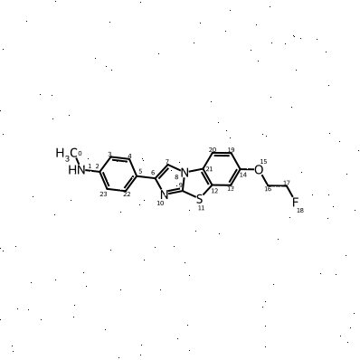 CNc1ccc(-c2cn3c(n2)sc2cc(OCCF)ccc23)cc1